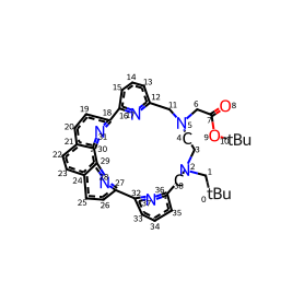 CC(C)(C)CN1CCN(CC(=O)OC(C)(C)C)Cc2cccc(n2)-c2ccc3ccc4ccc(nc4c3n2)-c2cccc(n2)C1